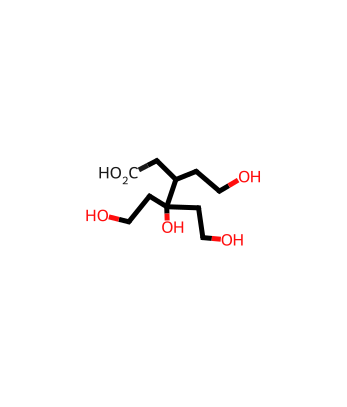 O=C(O)CC(CCO)C(O)(CCO)CCO